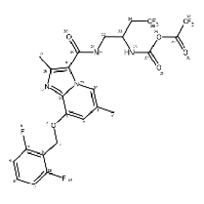 Cc1cc(OCc2c(F)cccc2F)c2nc(C)c(C(=O)NCC(CC(F)(F)F)NC(=O)OC(=O)C(F)(F)F)n2c1